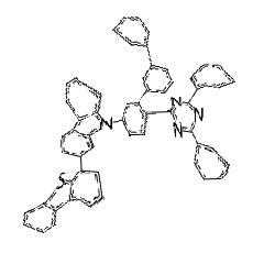 c1ccc(-c2cccc(-c3cc(-n4c5ccccc5c5ccc(-c6cccc7c6sc6ccccc67)cc54)ccc3-c3nc(-c4ccccc4)nc(-c4ccccc4)n3)c2)cc1